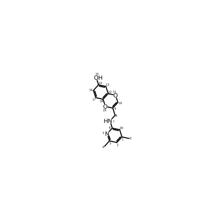 Cc1cc(C)nc(NCC2=COc3cc(O)ccc3O2)c1